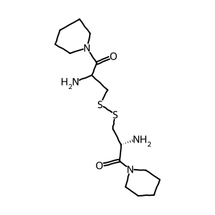 NC(CSSC[C@H](N)C(=O)N1CCCCC1)C(=O)N1CCCCC1